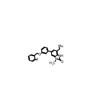 Cn1c(=O)[nH]c2c(CC(C)(C)C)cc(-c3cccc(OCc4ccccc4F)c3)cc21